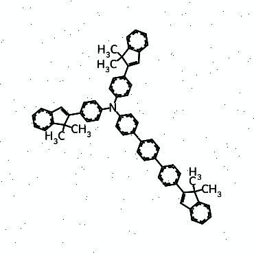 CC1(C)C(c2ccc(-c3ccc(-c4ccc(N(c5ccc(C6=Cc7ccccc7C6(C)C)cc5)c5ccc(C6=Cc7ccccc7C6(C)C)cc5)cc4)cc3)cc2)=Cc2ccccc21